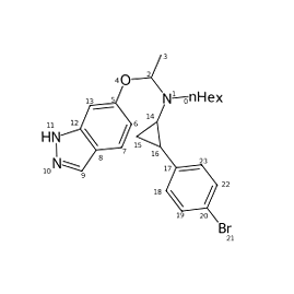 CCCCCCN(C(C)Oc1ccc2cn[nH]c2c1)C1CC1c1ccc(Br)cc1